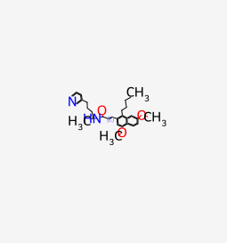 CCCCCc1c(/C=C/C(=O)NC(C)CCCc2cccnc2)cc(OC)c2ccc(OC)cc12